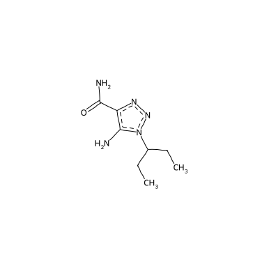 CCC(CC)n1nnc(C(N)=O)c1N